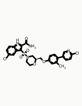 Cc1cc(OC[C@@H]2CN(S(=O)(=O)c3c(C(N)=O)[nH]c4ccc(Cl)cc34)CCO2)ccc1-c1ccc(Cl)nc1